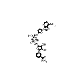 NC(=O)c1ccc[n+]([C@@H]2O[C@H](COP(=O)(O)OP(=O)(O)OC[C@@H]3CC[C@H](n4cnc5c(N)ncnc54)O3)C(O)C2O)c1